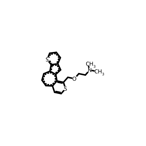 CN(C)CCOCC1=c2c(cccc3c2cc2cccsc23)C=CS1